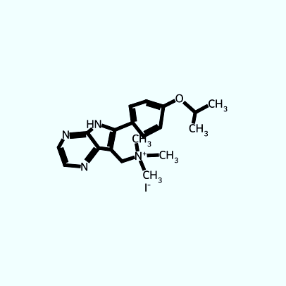 CC(C)Oc1ccc(-c2[nH]c3nccnc3c2C[N+](C)(C)C)cc1.[I-]